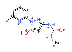 Cc1cccc(-n2nc(NC(=O)OC(C)(C)C)cc2O)n1